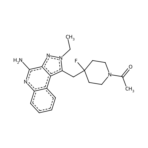 CCn1nc2c(N)nc3ccccc3c2c1CC1(F)CCN(C(C)=O)CC1